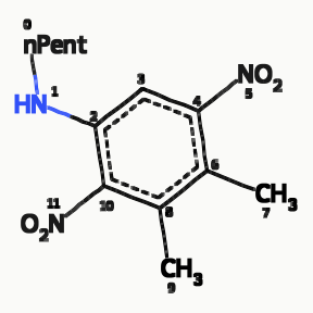 CCCCCNc1cc([N+](=O)[O-])c(C)c(C)c1[N+](=O)[O-]